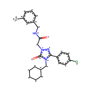 O=C(Cn1nc(-c2ccc(Cl)cc2)n(CC2CCCCC2)c1=O)NCc1cccc(C(F)(F)F)c1